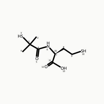 CC(C)(S)C(=O)N[C@@H](CCS)C(=O)O